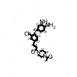 CC(=O)N1CCN(C(=O)C=Cc2ccc(Sc3ccc(N)c(N)c3)c(Cl)c2)CC1